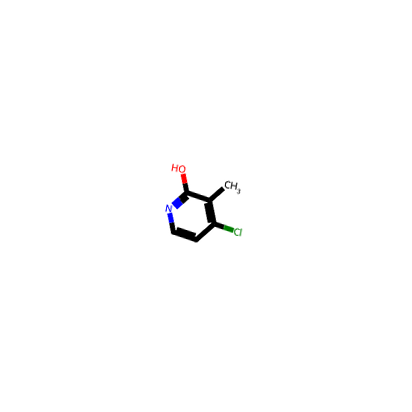 Cc1c(Cl)ccnc1O